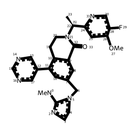 CNc1nccn1Cc1cc2c(c(-c3cncnc3)c1)CCN([C@@H](C)c1cc(OC)c(F)cn1)C2=O